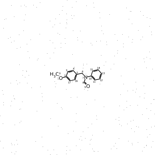 COc1ccc(CN(C=O)c2ccccc2)cc1